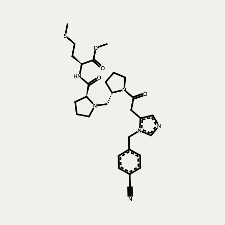 COC(=O)[C@H](CCSC)NC(=O)[C@@H]1CCCN1C[C@@H]1CCCN1C(=O)Cc1cncn1Cc1ccc(C#N)cc1